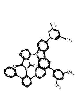 CC1=CC(c2ccc3c(c2)c2cc(-c4cc(C)cc(C)c4)ccc2n3-c2cccc3c2C(=O)N(c2c(-c4ccccc4)cccc2-c2ccccc2)C3=O)CC(C)=C1